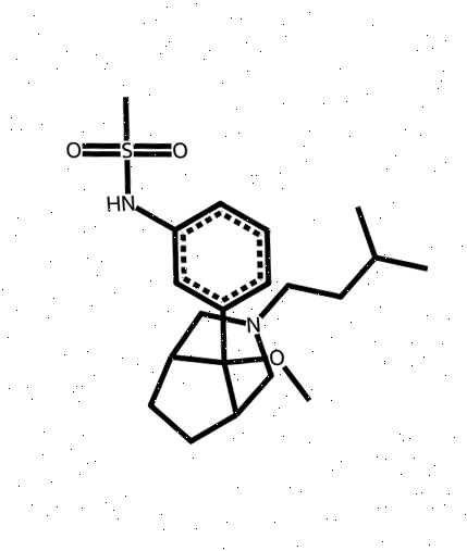 COC1(c2cccc(NS(C)(=O)=O)c2)C2CCC1CN(CCC(C)C)C2